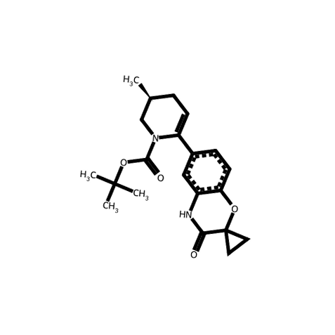 C[C@H]1CC=C(c2ccc3c(c2)NC(=O)C2(CC2)O3)N(C(=O)OC(C)(C)C)C1